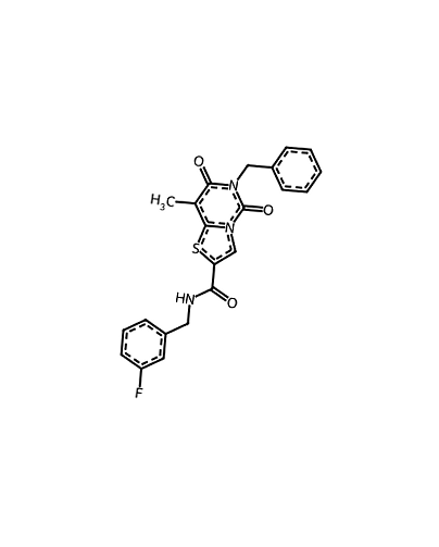 Cc1c(=O)n(Cc2ccccc2)c(=O)n2cc(C(=O)NCc3cccc(F)c3)sc12